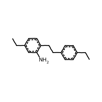 CCc1ccc(CCc2ccc(CC)cc2N)cc1